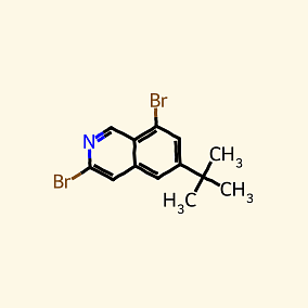 CC(C)(C)c1cc(Br)c2cnc(Br)cc2c1